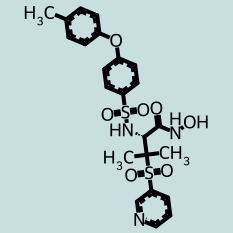 Cc1ccc(Oc2ccc(S(=O)(=O)N[C@H](C(=O)NO)C(C)(C)S(=O)(=O)c3cccnc3)cc2)cc1